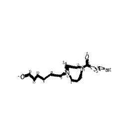 CCCCCC(=O)N1CCN(CCCCCC[O])CC1